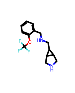 FC(F)(F)Oc1ccccc1CNCC1C2CNCC12